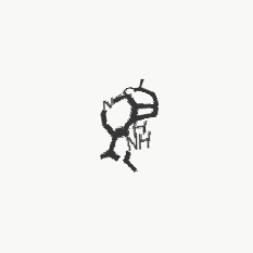 C=C(C)/C1=C(\NCC)[C@@H]2CC3C[C@H](C)C[N@@](CC1)CC32